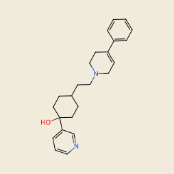 OC1(c2cccnc2)CCC(CCN2CC=C(c3ccccc3)CC2)CC1